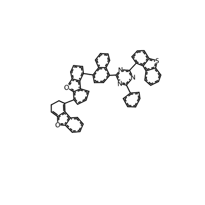 C1=c2oc3ccccc3c2=C(c2cccc3c2oc2cccc(-c4ccc(-c5nc(-c6ccccc6)nc(-c6cccc7sc8ccccc8c67)n5)c5ccccc45)c23)CC1